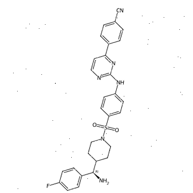 N#Cc1ccc(-c2ccnc(Nc3ccc(S(=O)(=O)N4CCC([C@@H](N)c5ccc(F)cc5)CC4)cc3)n2)cc1